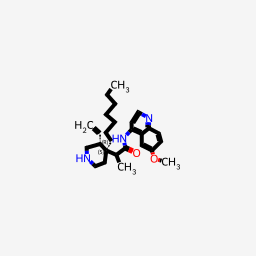 C=C[C@H]1CNCC[C@]1(CCCCCCC)C(C)C(=O)Nc1ccnc2ccc(OC)cc12